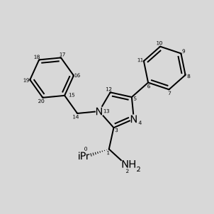 CC(C)[C@@H](N)c1nc(-c2ccccc2)cn1Cc1ccccc1